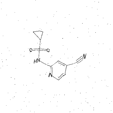 N#Cc1ccnc(NS(=O)(=O)C2CC2)c1